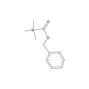 C[Si](C)(C)C(=O)OCc1ccccc1